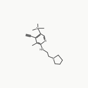 C#Cc1c([Si](C)(C)C)cnc(NCCN2CCCC2)c1C